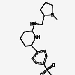 CN1CCCC1CNC1CCCC(c2ccc(S(C)(=O)=O)cc2)N1